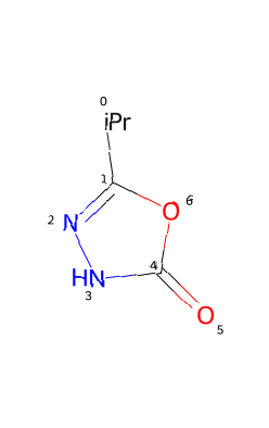 CC(C)c1n[nH]c(=O)o1